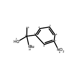 [CH2]C(O)(c1cccc([N+](=O)[O-])c1)C(C)(C)C